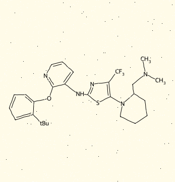 CN(C)CC1CCCCN1c1sc(Nc2cccnc2Oc2ccccc2C(C)(C)C)nc1C(F)(F)F